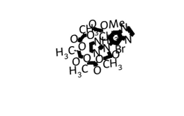 CO[C@@H](C)C(=O)O[C@@H](C)C(=O)O[C@@H](C)C(=O)O[C@@H](C)C(=O)O[C@@H](C)C(=O)N(C1=NCCN1)c1ccc2nccnc2c1Br